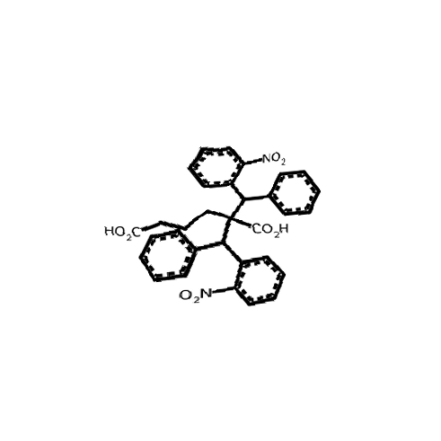 O=C(O)CCCC(C(=O)O)(C(c1ccccc1)c1ccccc1[N+](=O)[O-])C(c1ccccc1)c1ccccc1[N+](=O)[O-]